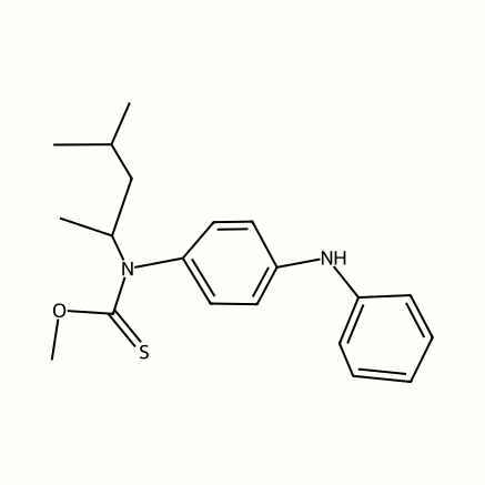 COC(=S)N(c1ccc(Nc2ccccc2)cc1)C(C)CC(C)C